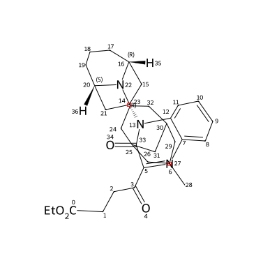 CCOC(=O)CCC(=O)c1nc2ccccc2n([C@H]2C[C@H]3CCC[C@@H](C2)N3C2CC3CC(C)CC(C3)C2)c1=O